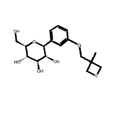 CC1(COc2cccc(C3O[C@H](CO)[C@@H](O)[C@H](O)[C@@H]3O)c2)COC1